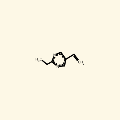 C=Cc1cnc(CC)nc1